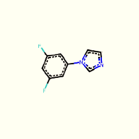 Fc1cc(F)cc(-n2c[c]nc2)c1